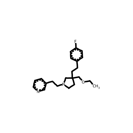 CCOCC1(CCc2ccc(F)cc2)CCN(CCc2cccnc2)C1